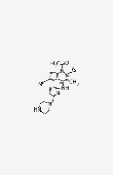 CC(=O)N1c2ccc(C#N)cc2[C@H](Nc2cccc(CN3CCNCC3)n2)[C@@H](C)[C@@H]1C1CC1